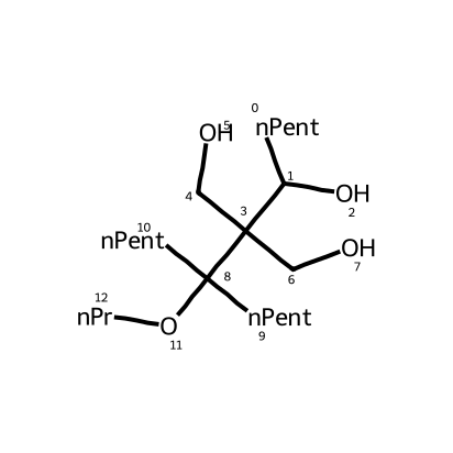 CCCCCC(O)C(CO)(CO)C(CCCCC)(CCCCC)OCCC